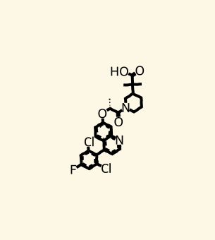 C[C@@H](Oc1ccc2c(-c3c(Cl)cc(F)cc3Cl)ccnc2c1)C(=O)N1CCCC(C(C)(C)C(=O)O)C1